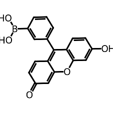 O=c1ccc2c(-c3cccc(B(O)O)c3)c3ccc(O)cc3oc-2c1